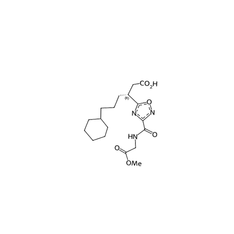 COC(=O)CNC(=O)c1noc([C@H](CCCC2CCCCC2)CC(=O)O)n1